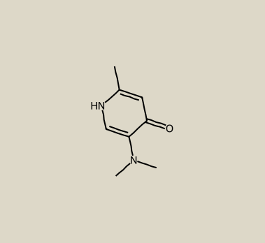 Cc1cc(=O)c(N(C)C)c[nH]1